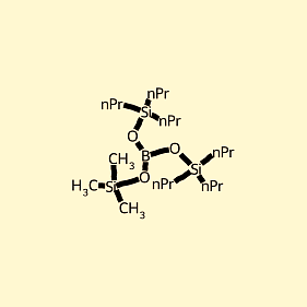 CCC[Si](CCC)(CCC)OB(O[Si](C)(C)C)O[Si](CCC)(CCC)CCC